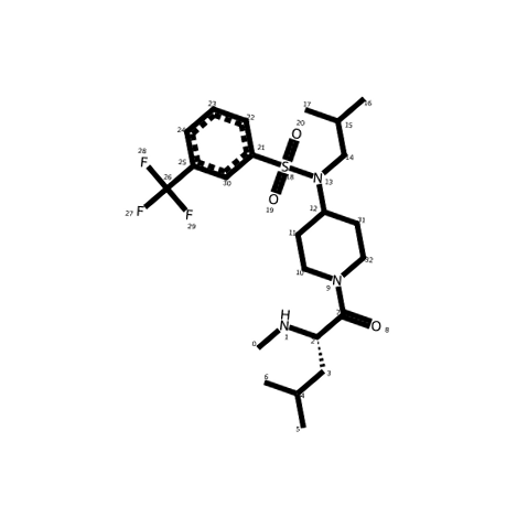 CN[C@@H](CC(C)C)C(=O)N1CCC(N(CC(C)C)S(=O)(=O)c2cccc(C(F)(F)F)c2)CC1